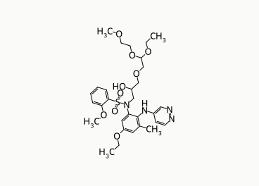 CCOc1cc(C)c(Nc2ccnnc2)c(N(CC(O)COCC(OCC)OCCOC)S(=O)(=O)c2ccccc2OC)c1